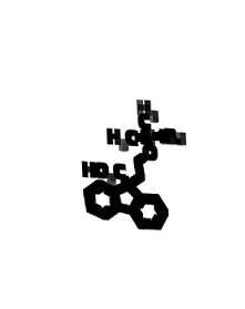 CC(C)(C)[Si](C)(C)OCCC1(C(=O)O)c2ccccc2-c2ccccc21